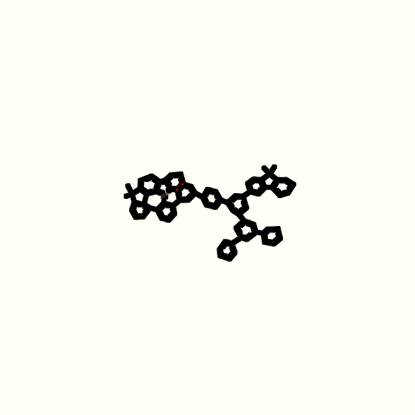 CC1(C)c2ccccc2-c2cc(-c3cc(-c4ccc(-c5cccc(-c6cccc7c6-n6c8ccccc8c8ccc9c(c86)-c6c-7cccc6C9(C)C)c5)cc4)cc(-c4cc(-c5ccccc5)cc(-c5ccccc5)c4)c3)ccc21